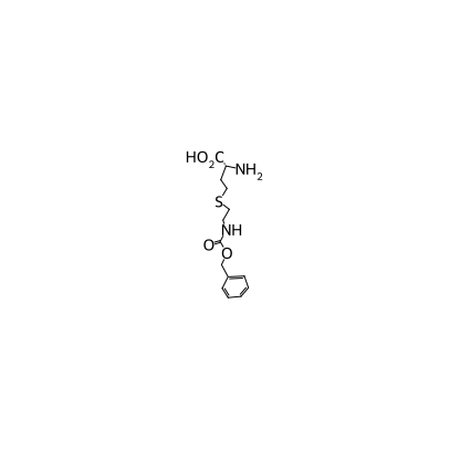 N[C@H](CCSCCNC(=O)OCc1ccccc1)C(=O)O